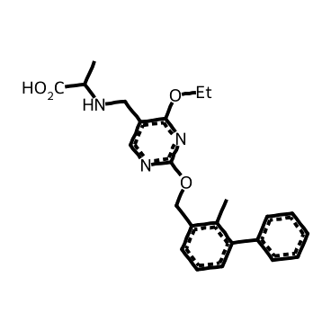 CCOc1nc(OCc2cccc(-c3ccccc3)c2C)ncc1CNC(C)C(=O)O